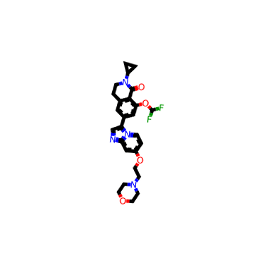 O=C1c2c(cc(-c3cnc4cc(OCCN5CCOCC5)ccn34)cc2OC(F)F)CCN1C1CC1